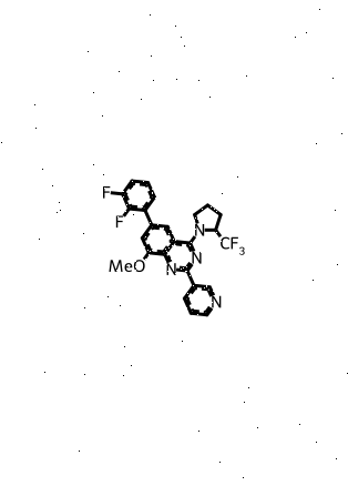 COc1cc(-c2cccc(F)c2F)cc2c(N3CCCC3C(F)(F)F)nc(-c3cccnc3)nc12